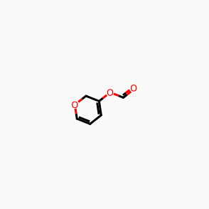 O=COC1=CC=COC1